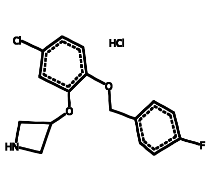 Cl.Fc1ccc(COc2ccc(Cl)cc2OC2CNC2)cc1